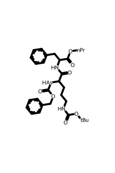 CCCOC(=O)C(Cc1ccccc1)NC(=O)C(CCCNC(=O)OC(C)(C)C)[AsH]C(=O)OCc1ccccc1